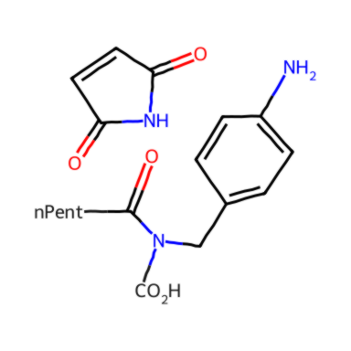 CCCCCC(=O)N(Cc1ccc(N)cc1)C(=O)O.O=C1C=CC(=O)N1